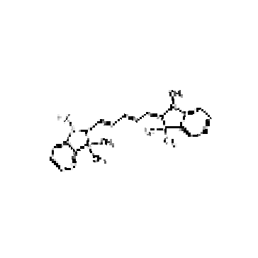 CN1/C(=C/C=C/C=C/C2N(C)c3ccccc3C2(C)C)C(C)(C)c2ccccc21